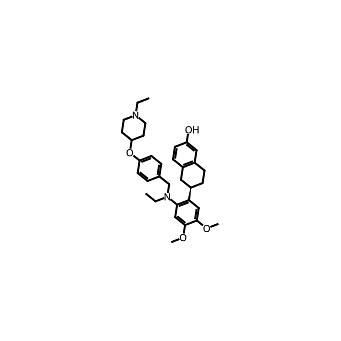 CCN1CCC(Oc2ccc(CN(CC)c3cc(OC)c(OC)cc3[C@@H]3CCc4cc(O)ccc4C3)cc2)CC1